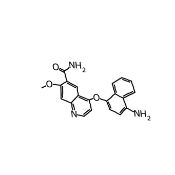 COc1cc2nccc(Oc3ccc(N)c4ccccc34)c2cc1C(N)=O